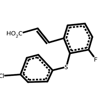 O=C(O)C=Cc1cccc(F)c1Sc1ccc(Cl)cc1